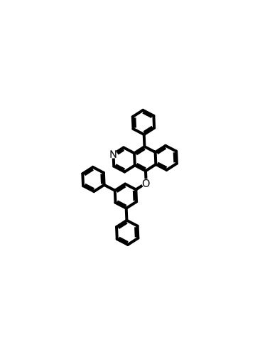 c1ccc(-c2cc(Oc3c4ccccc4c(-c4ccccc4)c4cnccc34)cc(-c3ccccc3)c2)cc1